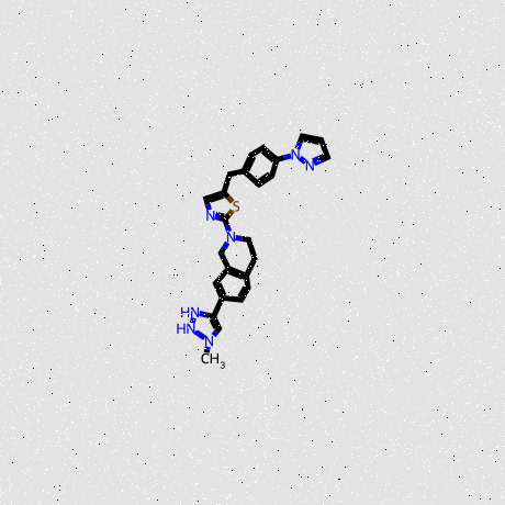 CN1C=C(c2ccc3c(c2)CN(c2ncc(Cc4ccc(-n5cccn5)cc4)s2)CC3)NN1